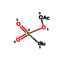 CC(=O)OOS(=O)(=O)C(C)(C)C